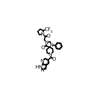 O=C(c1cnc2[nH]ncc2c1)N1CCC2(CC1)C(=O)N(CC(=O)N1CCCC1C(F)(F)F)CN2c1ccccc1